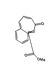 COC(=O)C1=CC=C2C(=O)C=CC=C3C=CC=CC32C1